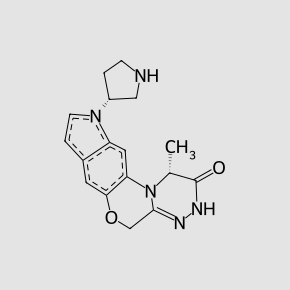 C[C@@H]1C(=O)NN=C2COc3cc4ccn([C@@H]5CCNC5)c4cc3N21